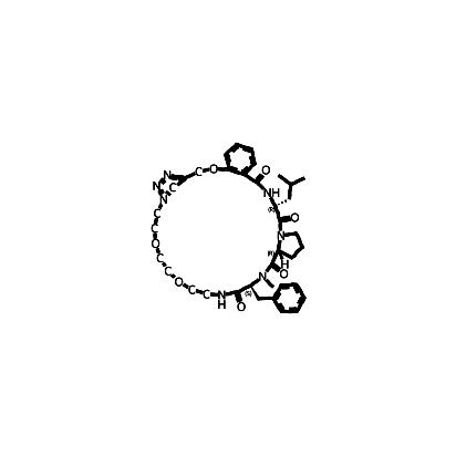 CC(C)C[C@H]1NC(=O)c2ccccc2OCc2cn(nn2)CCOCCOCCNC(=O)[C@H](Cc2ccccc2)N(C)C(=O)[C@H]2CCCN2C1=O